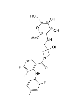 CO[C@@H]1O[C@H](CO)[C@@H](O)[C@H](O)C1NCC1(O)CN(C(=O)c2ccc(F)c(F)c2Nc2ccc(I)cc2F)C1